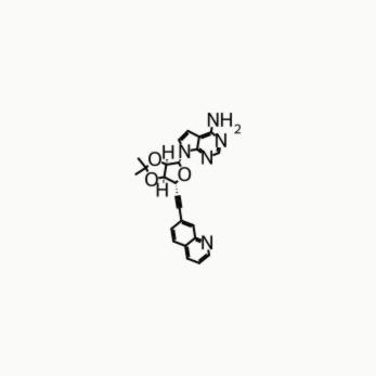 CC1(C)O[C@@H]2[C@H](O1)[C@@H](C#Cc1ccc3cccnc3c1)O[C@H]2n1ccc2c(N)ncnc21